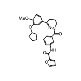 COc1ccc(C2=NN(C(=O)c3cccc(NC(=O)c4ccco4)c3)CCC2)cc1OC1CCCC1